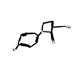 COC1CCN(c2ccc(Br)cc2)C1=O